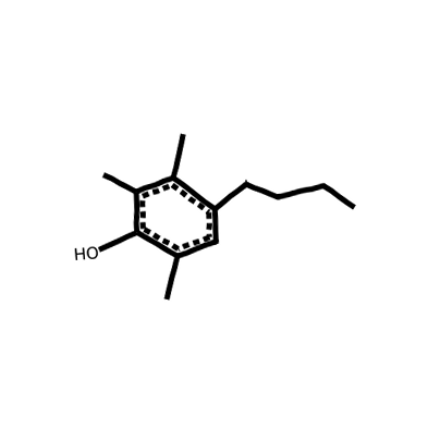 CCC[CH]c1cc(C)c(O)c(C)c1C